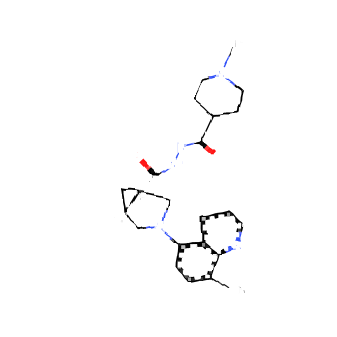 CC(C)N1CCC(C(=O)NNC(=O)[C@]23CN(c4ccc(C#N)c5ncccc45)C[C@@]2(C(F)(F)F)C3)CC1